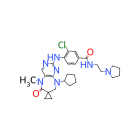 CN1C(=O)C2(CC2)CN(C2CCCC2)c2nc(Nc3ccc(C(=O)NCCN4CCCC4)cc3Cl)ncc21